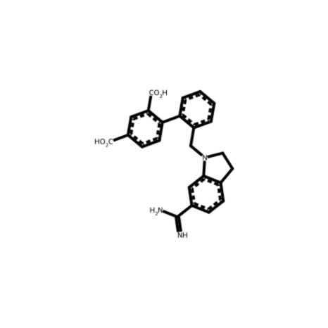 N=C(N)c1ccc2c(c1)N(Cc1ccccc1-c1ccc(C(=O)O)cc1C(=O)O)CC2